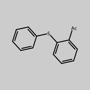 CC(=O)c1ccccc1Sc1ccccc1